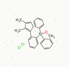 C[O][Ti+2]([c]1ccccc1)([c]1ccccc1)[c]1ccccc1C1=C(C)C(C)=CC1.[Cl-].[Cl-]